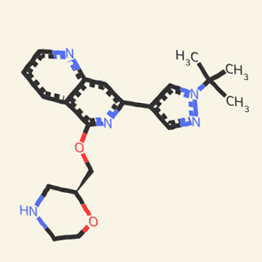 CC(C)(C)n1cc(-c2cc3ncccc3c(OC[C@@H]3CNCCO3)n2)cn1